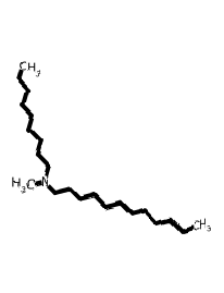 CCCCCCCCCCCCN(C)CCCCCCCCC